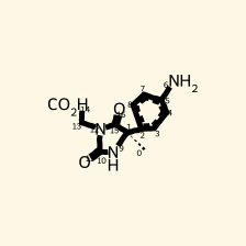 C[C@]1(c2ccc(N)cc2)NC(=O)N(CC(=O)O)C1=O